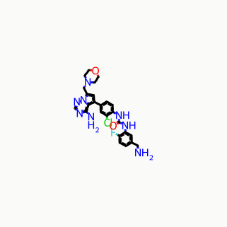 NCc1ccc(F)c(NC(=O)Nc2ccc(-c3cc(CN4CCOCC4)n4ncnc(N)c34)cc2Cl)c1